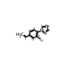 C=Cc1ccc(-n2cncn2)c(I)c1